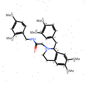 COc1ccc(CNC(=O)CN2CCc3cc(OC)c(OC)cc3C2Cc2ccc(OC)c(OC)c2)c(OC)c1